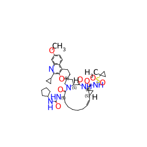 COc1ccc2c3c(c(C4CC4)nc2c1)O[C@]1(CC3)C[C@H]2C(=O)N[C@]3(C(=O)NS(=O)(=O)C4(C)CC4)C[C@H]3C=CCCCCC[C@H](NC(=O)NC3CCCC3)C(=O)N2C1